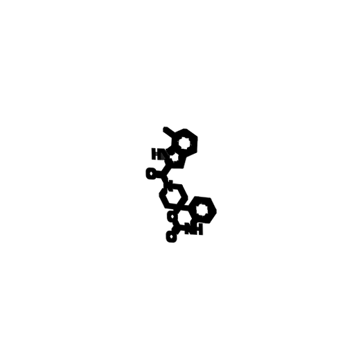 Cc1cccc2cc(C(=O)N3CCC4(CC3)OC(=O)Nc3ccccc34)[nH]c12